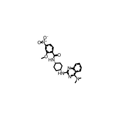 COc1cc([N+](=O)[O-])ccc1C(=O)N[C@H]1CC[C@@H](Nc2nc(N(C)C)c3ccccc3n2)CC1